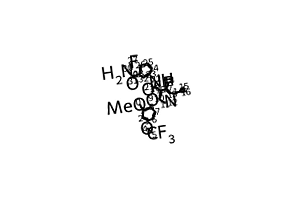 COc1cc(OC(F)(F)F)ccc1Oc1cnc(C2CC2)c(F)c1C(=O)Nc1ccc(F)c(C(N)=O)c1